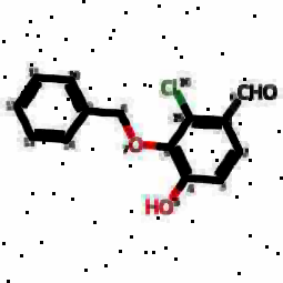 O=Cc1ccc(O)c(OCc2ccccc2)c1Cl